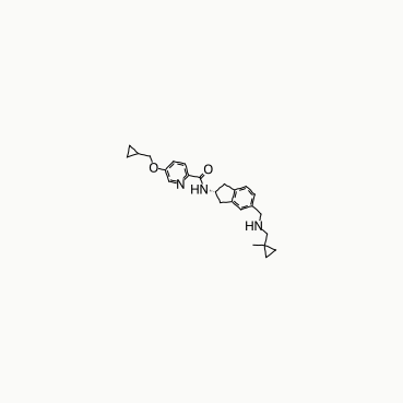 CC1(CNCc2ccc3c(c2)C[C@H](NC(=O)c2ccc(OCC4CC4)cn2)C3)CC1